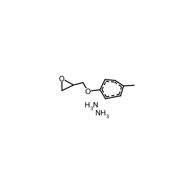 Cc1ccc(OCC2CO2)cc1.N.N